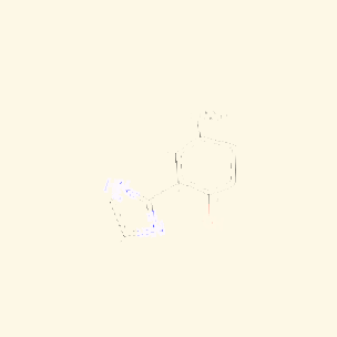 COc1ccc(O)c(-c2ncc[nH]2)c1